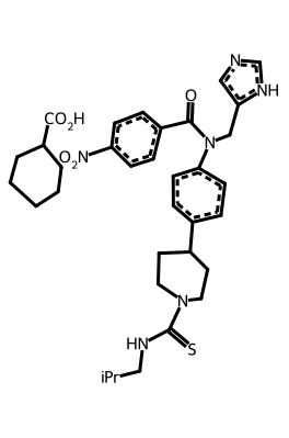 CC(C)CNC(=S)N1CCC(c2ccc(N(Cc3cnc[nH]3)C(=O)c3ccc([N+](=O)[O-])cc3)cc2)CC1.O=C(O)C1CCCCC1